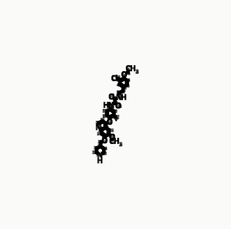 CCOc1ccc(CCNC(=O)C(=O)Nc2ccc(Oc3ccnc4cc(OCC5CCNCC5)c(OC)cc34)c(F)c2)cc1Cl